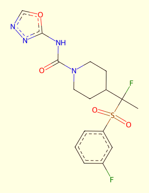 CC(F)(C1CCN(C(=O)Nc2nnco2)CC1)S(=O)(=O)c1cccc(F)c1